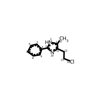 Cc1[nH]c(-c2ccccc2)nc1CCCl